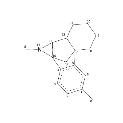 Cc1ccc2c(c1)C13CCCCC1C1N(C)C21C3